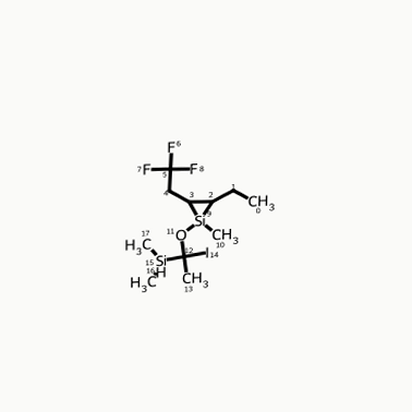 CCC1C(CC(F)(F)F)[Si]1(C)OC(C)(I)[SiH](C)C